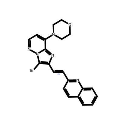 Brc1c(/C=C/c2ccc3ccccc3n2)nc2c(N3CCOCC3)ccnn12